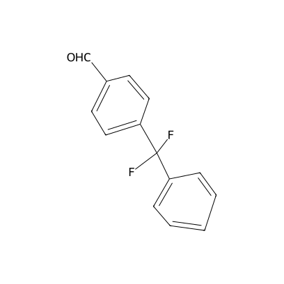 O=Cc1ccc(C(F)(F)c2ccccc2)cc1